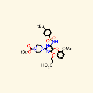 COc1ccccc1Oc1c(NS(=O)(=O)c2ccc(C(C)(C)C)cc2)nc(N2CCN(C(=O)OC(C)(C)C)CC2)nc1OCCC(=O)O